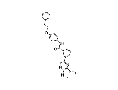 Nc1ncc(-c2cccc(C(=O)Nc3ccc(OCCc4ccccc4)cc3)c2)nc1N